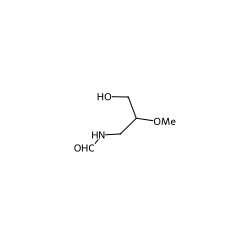 COC(CO)CNC=O